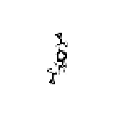 O=C(Nc1nc2ccc(OC(=O)C3CC3)cc2s1)C1CC1